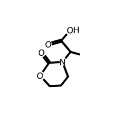 CC(C(=O)O)N1CCCOC1=O